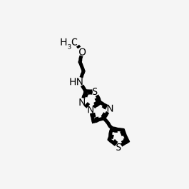 COCCNc1nn2cc(-c3ccsc3)nc2s1